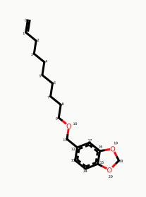 C=CCCCCCCCCOCc1ccc2c(c1)OCO2